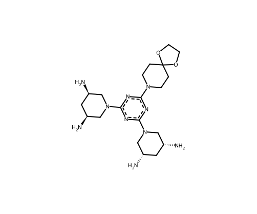 N[C@@H]1C[C@H](N)CN(c2nc(N3CCC4(CC3)OCCO4)nc(N3C[C@H](N)C[C@H](N)C3)n2)C1